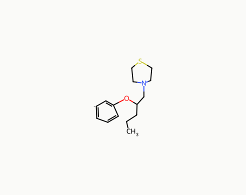 CCCC(CN1CCSCC1)Oc1c[c]ccc1